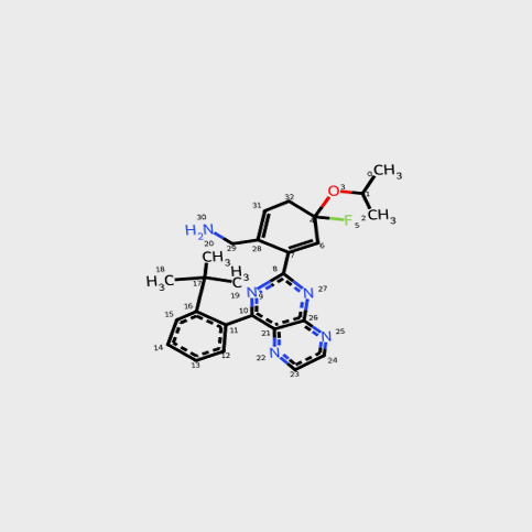 CC(C)OC1(F)C=C(c2nc(-c3ccccc3C(C)(C)C)c3nccnc3n2)C(CN)=CC1